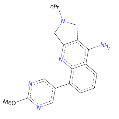 CCCN1Cc2nc3c(-c4cnc(OC)nc4)cccc3c(N)c2C1